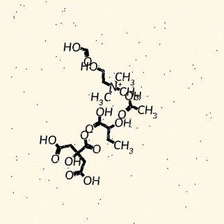 CC(=O)O.CCC(O)C(=O)O.C[N+](C)(C)CCO.O=C(O)CC(O)(CC(=O)O)C(=O)[O-].O=CO